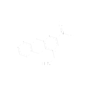 Cc1cc([N+](=O)[O-])cc(CN)c1Sc1ccccc1